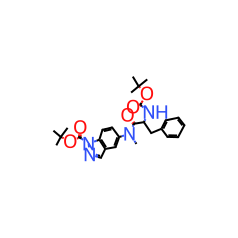 CN(C(=O)C(Cc1ccccc1)NC(=O)OC(C)(C)C)c1ccc2c(cnn2C(=O)OC(C)(C)C)c1